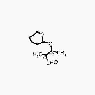 C[C@H](C=O)[C@H](C)OC1CCCCO1